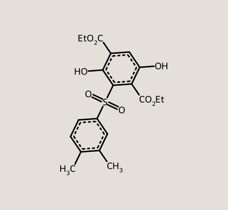 CCOC(=O)c1cc(O)c(C(=O)OCC)c(S(=O)(=O)c2ccc(C)c(C)c2)c1O